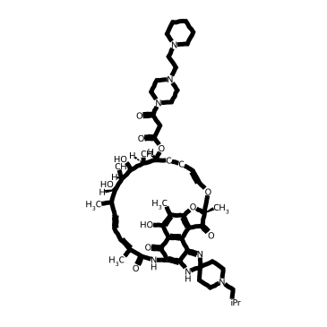 C/C1=C/C=C/C(C)[C@H](O)[C@@H](C)C(O)[C@@H](C)[C@H](OC(=O)CC(=O)N2CCN(CCN3CCCCC3)CC2)CC/C=C/O[C@@]2(C)Oc3c(C)c(O)c4c(c3C2=O)C2=NC3(CCN(CC(C)C)CC3)NC2=C(NC1=O)C4=O